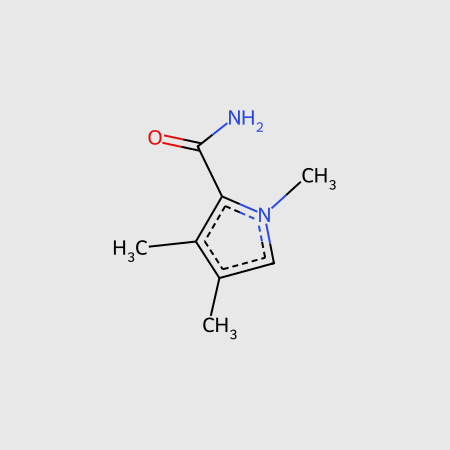 Cc1cn(C)c(C(N)=O)c1C